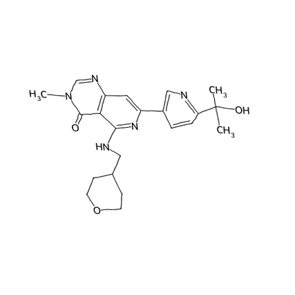 Cn1cnc2cc(-c3ccc(C(C)(C)O)nc3)nc(NCC3CCOCC3)c2c1=O